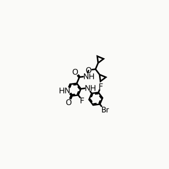 O=C(NOC(C1CC1)C1CC1)c1c[nH]c(=O)c(F)c1Nc1ccc(Br)cc1F